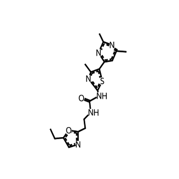 CCc1cnc(CCNC(=O)Nc2nc(C)c(-c3cc(C)nc(C)n3)s2)o1